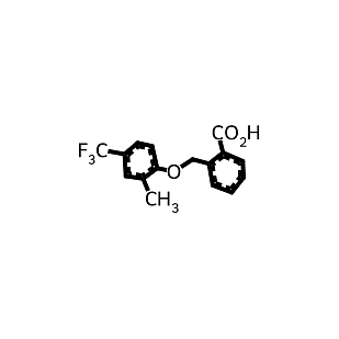 Cc1cc(C(F)(F)F)ccc1OCc1ccccc1C(=O)O